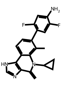 C=C1c2nc[nH]c2-c2ccc(-c3cc(F)c(N)cc3F)c(C)c2N1C1CC1